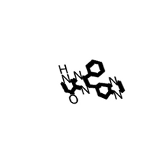 O=c1cc[nH]c2nc(-c3ccccc3)c(-c3ccc4nccnc4c3)nc12